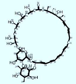 C[C@@H]1[C@H](O)[C@@H](C)/C=C/C=C/CC/C=C/C=C/C=C/C=C/[C@H](OC2O[C@H](C)[C@@H](O)[C@H](C)[C@@H]2O)C[C@@H]2O[C@](O)(C[C@@H](O)[C@H](O)CC[C@@H](O)C[C@@H](O)C[C@@H](O)CC(=O)O[C@H]1C)C[C@H](O)[C@H]2C(=O)O